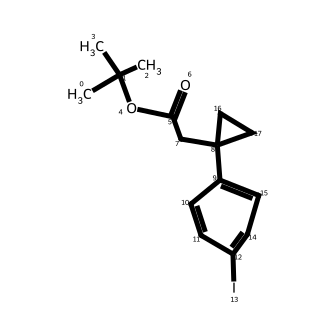 CC(C)(C)OC(=O)CC1(c2ccc(I)cc2)CC1